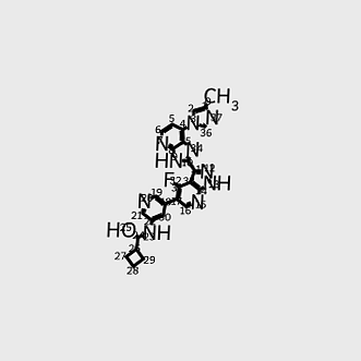 Cc1cn(-c2ccnc3[nH]c(-c4n[nH]c5ncc(-c6cncc(NC(O)C7CCC7)c6)c(F)c45)nc23)cn1